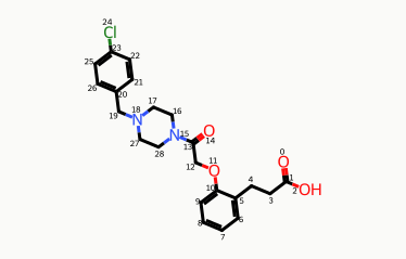 O=C(O)CCc1ccccc1OCC(=O)N1CCN(Cc2ccc(Cl)cc2)CC1